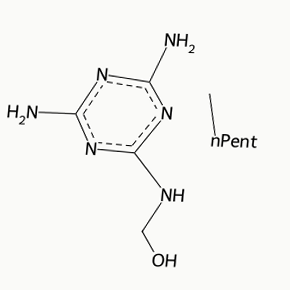 CCCCCC.Nc1nc(N)nc(NCO)n1